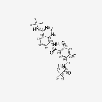 CC(C)(C)Nc1ncnc2c(NC(=O)c3cc(CNC(=O)C(C)(C)C)c(F)cc3Cl)cccc12